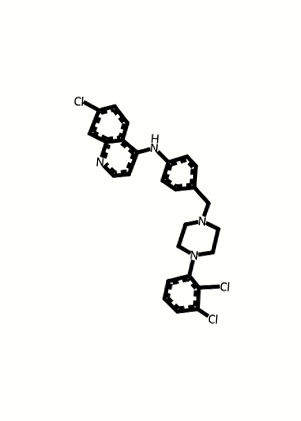 Clc1ccc2c(Nc3ccc(CN4CCN(c5cccc(Cl)c5Cl)CC4)cc3)ccnc2c1